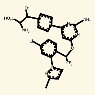 CCC(c1ccc(-c2cc(O[C@H](c3ccc(Cl)cc3-n3ccc(C)n3)C(F)(F)F)nc(N)n2)cc1)C(N)C(=O)O